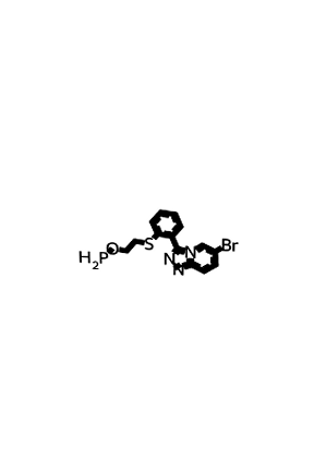 POCCSc1ccccc1-c1nnc2ccc(Br)cn12